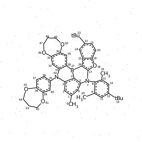 Cc1cc2c3c(c1)N(c1c(C)cc(C(C)(C)C)cc1C)c1oc4ccc(C(C)(C)C)cc4c1B3c1cc3c(cc1N2c1ccc2c(c1)OCCCO2)OCCCO3